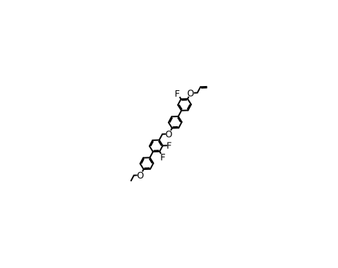 C=CCOc1ccc(-c2ccc(OCc3ccc(-c4ccc(OCC)cc4)c(F)c3F)cc2)cc1F